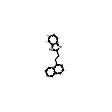 c1ccc2c(CCc3nc4ccccc4[nH]3)cccc2c1